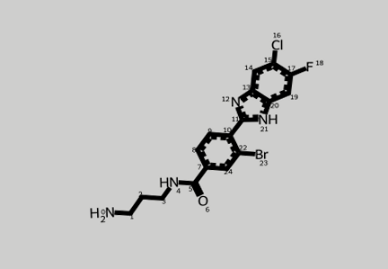 NCCCNC(=O)c1ccc(-c2nc3cc(Cl)c(F)cc3[nH]2)c(Br)c1